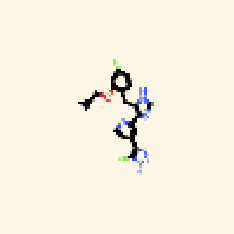 Fc1ccc(Cc2[nH]cnc2-c2cc(-c3nn[nH]c3F)ccn2)c(OCC2CC2)c1